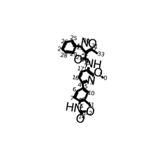 COc1nc(-c2ccc3c(c2)COC(=O)N3)ccc1NC(=O)c1c(-c2ccccc2)noc1C